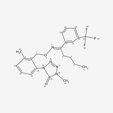 CCCCC(=NOCc1c(C)cccc1-n1nnn(C)c1=O)c1cccc(C(F)(F)F)c1